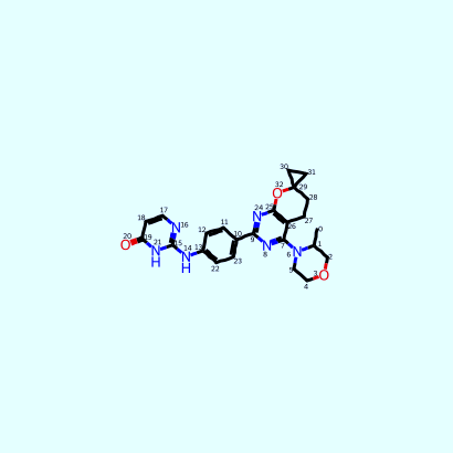 CC1COCCN1c1nc(-c2ccc(Nc3nccc(=O)[nH]3)cc2)nc2c1CCC1(CC1)O2